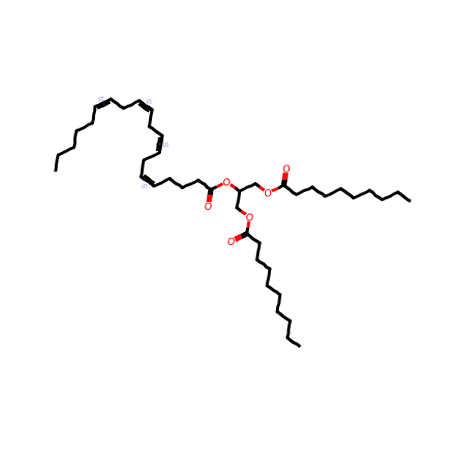 CCCCC/C=C\C/C=C\C/C=C\C/C=C\CCCC(=O)OC(COC(=O)CCCCCCCCC)COC(=O)CCCCCCCCC